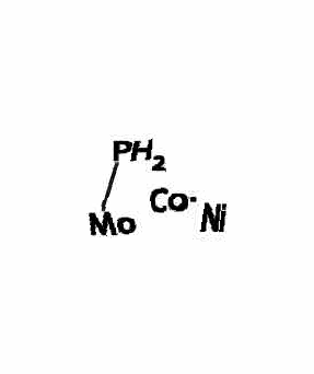 [Co].[Ni].[PH2][Mo]